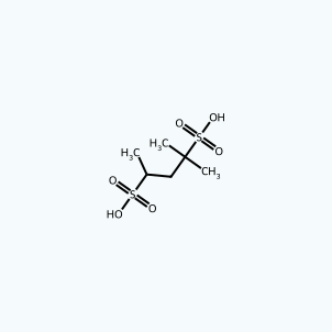 CC(CC(C)(C)S(=O)(=O)O)S(=O)(=O)O